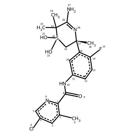 Cc1cc(Cl)cnc1C(=O)Nc1ccc(F)c([C@]2(C)CS(O)(O)C(C)(C)C(N)=N2)c1